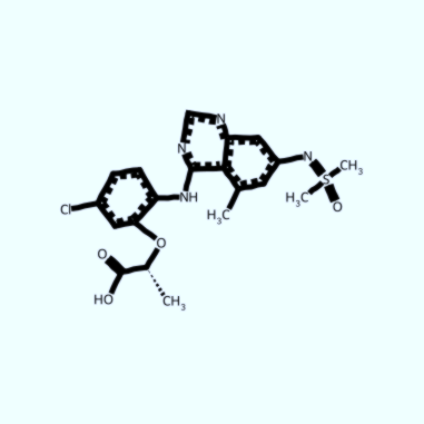 Cc1cc(N=S(C)(C)=O)cc2ncnc(Nc3ccc(Cl)cc3O[C@H](C)C(=O)O)c12